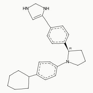 C1=C(c2ccc([C@H]3CCCN3c3ccc(C4CCCCC4)cc3)cc2)NCN1